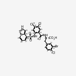 O=C(N[C@@H](Cc1ccc(Cl)c(Br)c1)C(=O)O)c1cc(Cl)c(Cl)cc1NS(=O)(=O)C1=CC=CN2SNC=C12